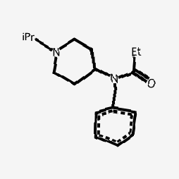 CCC(=O)N(c1ccccc1)C1CCN(C(C)C)CC1